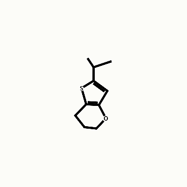 CC(C)c1cc2c(s1)CCCO2